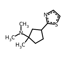 CN(C)C1(C)CCC(c2nccs2)C1